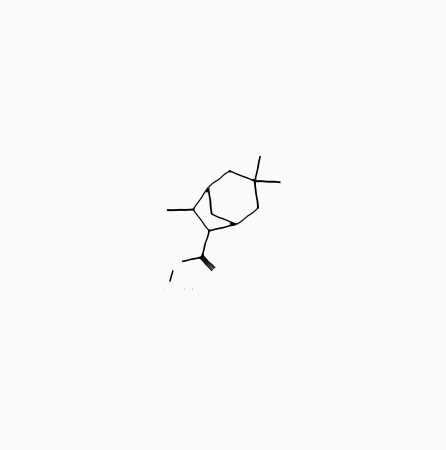 CC1C2CC(CC(C)(C)C2)C1C(=O)OC=O